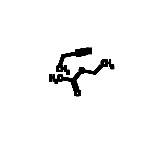 CCC#N.CCOC(C)=O